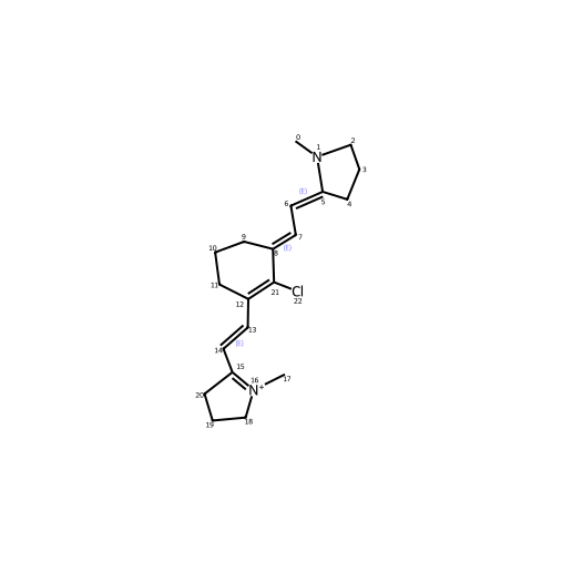 CN1CCC/C1=C\C=C1/CCCC(/C=C/C2=[N+](C)CCC2)=C1Cl